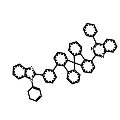 C1=CCCC(n2c(-c3cccc(-c4cccc5c4-c4ccccc4C54c5ccccc5-c5c(-c6nc(-c7ccccc7)c7ccccc7n6)cccc54)c3)nc3ccccc32)=C1